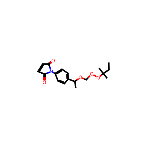 CCC(C)(C)OOCOC(C)c1ccc(N2C(=O)C=CC2=O)cc1